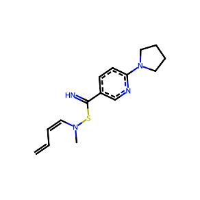 C=C/C=C\N(C)SC(=N)c1ccc(N2CCCC2)nc1